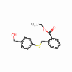 O=C(OCC(Cl)(Cl)Cl)c1ccccc1CSc1ccc(CO)cc1